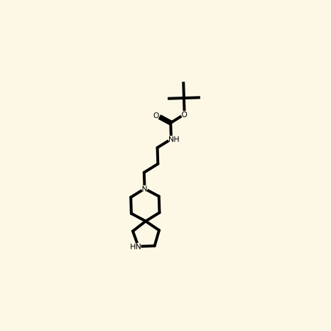 CC(C)(C)OC(=O)NCCCN1CCC2(CCNC2)CC1